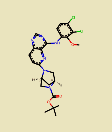 COc1c(Nc2ncnc3ccc(N4C[C@@H]5C[C@H]4CN5C(=O)OC(C)(C)C)nc23)ccc(Cl)c1Cl